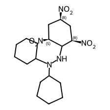 O=[N+]([O-])[C@H]1C[C@@H]([N+](=O)[O-])C(NN(C2CCCCC2)C2CCCCC2)[C@@H]([N+](=O)[O-])C1